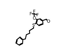 O=Cc1ccc(SCCCCCc2ccccc2)c(OC(F)(F)F)c1